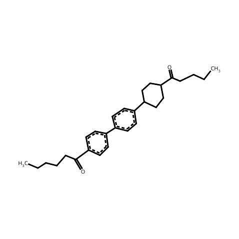 CCCCCC(=O)c1ccc(-c2ccc(C3CCC(C(=O)CCCC)CC3)cc2)cc1